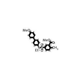 CCN(c1ccc(-c2ccc(OC)cc2)cc1)S(=O)(=O)c1ccc(C)c(C(=O)OC)c1